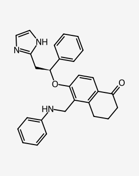 O=C1CCCc2c1ccc(O[C@@H](Cc1ncc[nH]1)c1ccccc1)c2CNc1ccccc1